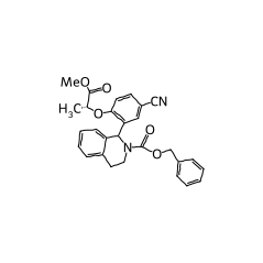 COC(=O)[C@@H](C)Oc1ccc(C#N)cc1C1c2ccccc2CCN1C(=O)OCc1ccccc1